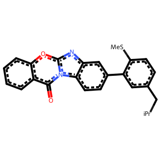 CSc1ccc(CC(C)C)cc1-c1ccc2c(c1)nc1oc3ccccc3c(=O)n12